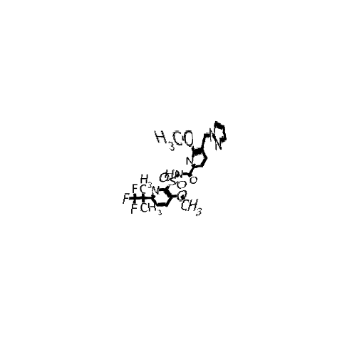 COc1ccc(C(C)(C)C(F)(F)F)nc1S(=O)(=O)NC(=O)c1ccc(Cn2cccn2)c(OC)n1